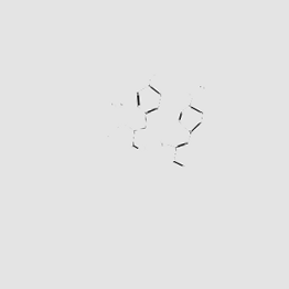 COC(=Cc1ccc(O)cc1)C(=O)[O-].COC(Cc1ccc(O)cc1)C(=O)[O-].[Na+].[Na+]